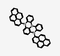 c1ccc2c(c1)B1c3ccccc3N(c3ccc4ccc5cccc6ccc3c4c56)c3cccc(c31)N2c1ccc2ccc3cccc4ccc1c2c34